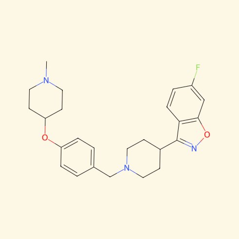 CN1CCC(Oc2ccc(CN3CCC(c4noc5cc(F)ccc45)CC3)cc2)CC1